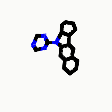 c1ccc2cc3c(cc2c1)c1ccccc1n3-c1ncncn1